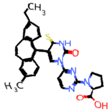 CCc1ccc2c(c1)C=Cc1cc(C)ccc1C2c1cn(-c2ccnc(N3CCC[C@H]3C(=O)O)n2)c(=O)[nH]c1=S